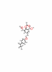 COCc1cc(CCOc2ccc(C(C)C(C)(C)C)cc2)cc(COC)c1OC(C)=O